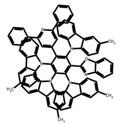 Cc1ccc2c(c1)c1ccccc1n2-c1c(-c2cc(-c3ccccc3)nc(-c3ccccc3)c2)c(-n2c3ccccc3c3cc(C)ccc32)c(-n2c3ccccc3c3cc(C)ccc32)c(-n2c3ccccc3c3cc(C)ccc32)c1-c1nc2ccccc2o1